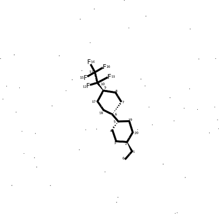 CC[C@H]1CC[C@H]([C@H]2CC[C@H](C(F)(F)C(F)(F)F)CC2)CC1